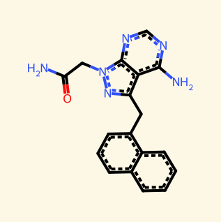 NC(=O)Cn1nc(Cc2cccc3ccccc23)c2c(N)ncnc21